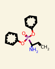 C=CC(N)P(=O)(Oc1ccccc1)Oc1ccccc1